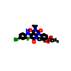 Cn1c(=O)cc(Nc2ccc(Br)cc2F)c2c(=O)n(C3CC3)c(=O)n(-c3ccc(S(C)(=O)=O)cc3)c21